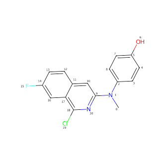 CN(c1ccc(O)cc1)c1cc2ccc(F)cc2c(Cl)n1